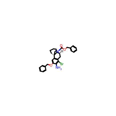 Nc1c(OCc2ccccc2)cc2c(c1Br)C[C@H]1C3CCCC[C@@]23CCN1C(=O)OCc1ccccc1